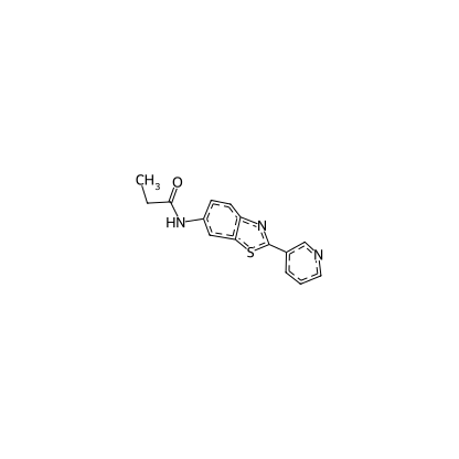 CCC(=O)Nc1ccc2nc(-c3cccnc3)sc2c1